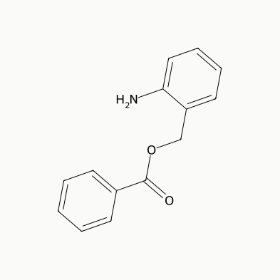 Nc1ccccc1COC(=O)c1ccccc1